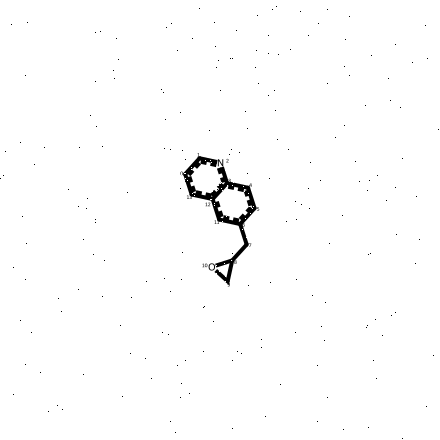 c1cnc2ccc(CC3CO3)cc2c1